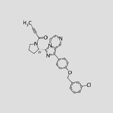 CC#CC(=O)N1CCC[C@H]1c1nc(-c2ccc(OCc3cccc(Cl)c3)cc2)c2cnccn12